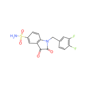 NS(=O)(=O)c1ccc2c(c1)C(=O)C(=O)N2Cc1ccc(F)c(F)c1